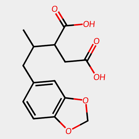 CC(Cc1ccc2c(c1)OCO2)C(CC(=O)O)C(=O)O